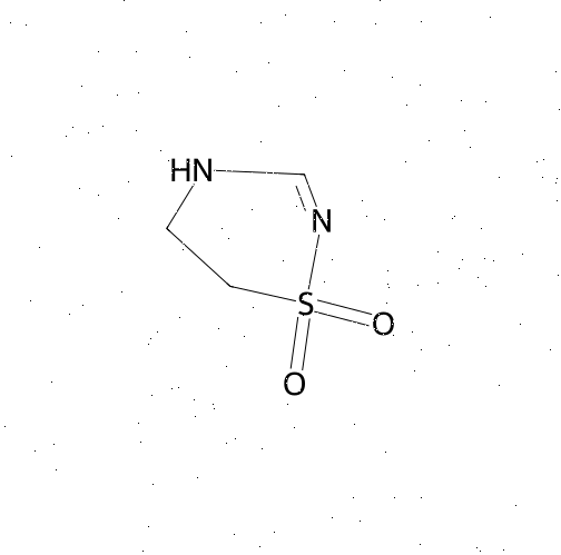 O=S1(=O)CCNC=N1